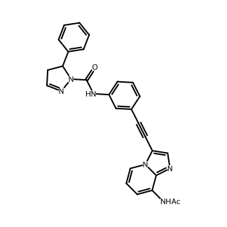 CC(=O)Nc1cccn2c(C#Cc3cccc(NC(=O)N4N=CCC4c4ccccc4)c3)cnc12